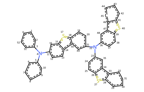 c1ccc(N(c2ccccc2)c2ccc3c(c2)sc2ccc(N(c4ccc5sc6ccccc6c5c4)c4ccc5sc6ccccc6c5c4)cc23)cc1